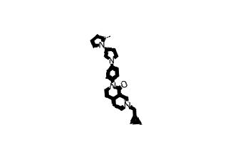 C[C@H]1CCCN1[C@H]1CCN(c2ccc(N3CCC4CCN(CC5CC5)CC4C3=O)cc2)C1